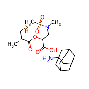 C[C@H](CS)C(=O)OC(CN(C)S(C)(=O)=O)C(=O)O.NC12CC3CC(CC(C3)C1)C2